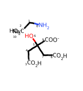 NCC(=O)O.O=C(O)CC(O)(CC(=O)O)C(=O)[O-].[Na+]